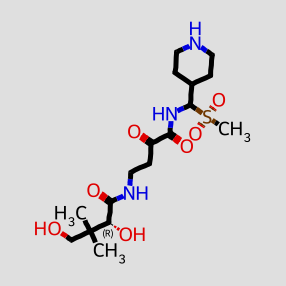 CC(C)(CO)[C@@H](O)C(=O)NCCC(=O)C(=O)NC(C1CCNCC1)S(C)(=O)=O